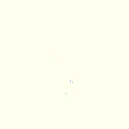 Cc1ccc(S(=O)(=O)Oc2ccc(N)c([N+](=O)[O-])c2)cc1Cl